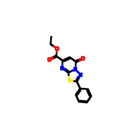 CCOC(=O)c1cc(=O)n2nc(-c3ccccc3)sc2n1